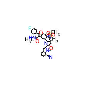 CNC(=O)c1c(-c2ccc(F)cc2)oc2cc(N(C)S(C)(=O)=O)c(-c3ccc4c(n3)-c3cc5cccc(C#N)c5n3CO4)cc12